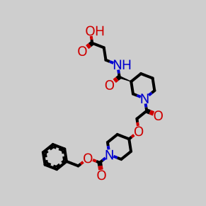 O=C(O)CCNC(=O)[C@H]1CCCN(C(=O)COC2CCN(C(=O)OCc3ccccc3)CC2)C1